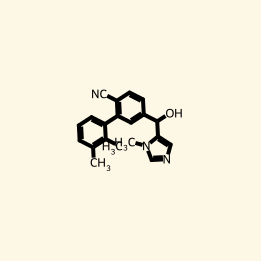 Cc1cccc(-c2cc(C(O)c3cncn3C)ccc2C#N)c1C